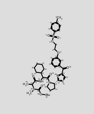 Cc1ccc(S(=O)(=O)OCCOc2cccc(C(=O)c3csc([C@@H]4CCCN4C(=O)C(NC(=O)C(C)N(C)C(=O)OC(C)(C)C)C4CCCCC4)n3)c2)cc1